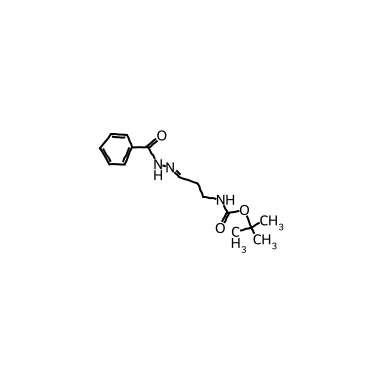 CC(C)(C)OC(=O)NCCC=NNC(=O)c1ccccc1